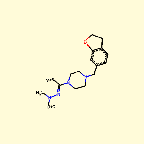 CS/C(=N\N(C)C=O)N1CCN(Cc2ccc3c(c2)OCC3)CC1